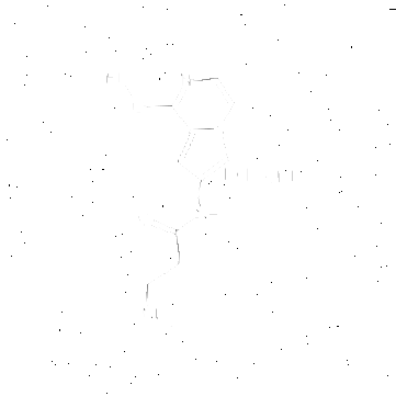 CCOc1nccn2cc(NC(=O)CCN)cc12.Cl.Cl